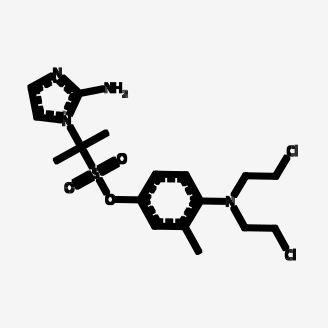 Cc1cc(OS(=O)(=O)C(C)(C)n2ccnc2N)ccc1N(CCCl)CCCl